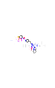 C[C@H](N[C@@H](CCc1ccc(NC(=O)c2ccc(Cl)c(S(N)(=O)=O)c2)cc1)C(=O)O)C(=O)N1[C@@H]2CCCC[C@@H]2C[C@H]1C(=O)O